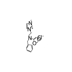 Cn1cc[n+](CCN(Cc2ccccc2)C2=COCO2)c1.[Cl-]